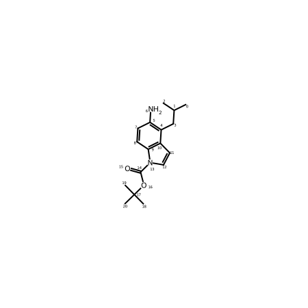 CC(C)Cc1c(N)ccc2c1ccn2C(=O)OC(C)(C)C